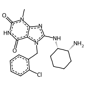 Cn1c(=O)[nH]c(=O)c2c1nc(N[C@H]1CCCC[C@H]1N)n2Cc1ccccc1Cl